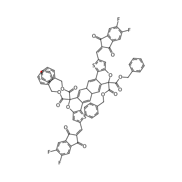 O=C1C(=Cc2cc3c(s2)C2=CC4C=C5C(=CC4C=C2C(C(=O)OCc2ccccc2)(C(=O)OCc2ccccc2)O3)c2sc(C=C3C(=O)c4cc(F)c(F)cc4C3=O)cc2OC5(C(=O)OCc2ccccc2)C(=O)OCc2ccccc2)C(=O)c2cc(F)c(F)cc21